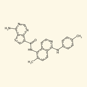 Cc1ccc(Nc2nccc3c(NC(=O)c4csc5c(N)ncnc45)c(C)ccc23)cc1